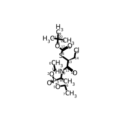 CCOP(=O)(OCC)C(C)NC(=O)[C@H](CCl)SC(=O)OC(C)(C)C